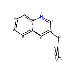 C#C[CH]c1cnc2ccccc2c1